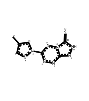 Cc1cnn(-c2nnc3n[nH]c(=S)n3n2)c1